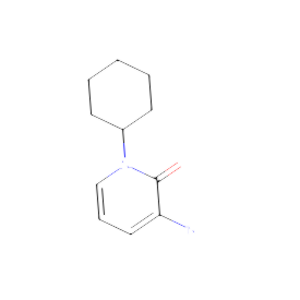 Nc1cccn(C2CCCCC2)c1=O